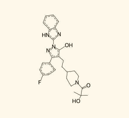 CC(C)(O)C(=O)N1CCC(CCc2c(-c3ccc(F)cc3)nn(-c3nc4ccccc4[nH]3)c2O)CC1